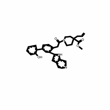 C=CCC1(C(=O)OC)CCN(C(=O)Cc2ccc(-c3ccccc3O)cc2-c2cc3ccncc3[nH]2)CC1